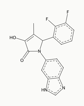 CC1=C(O)C(=O)N(c2ccc3nc[nH]c3c2)C1c1cccc(F)c1F